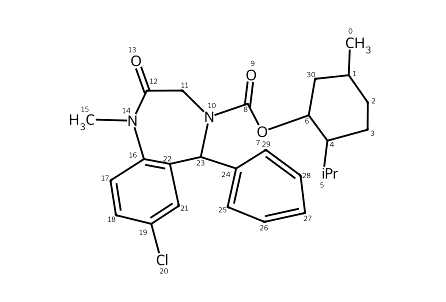 CC1CCC(C(C)C)C(OC(=O)N2CC(=O)N(C)c3ccc(Cl)cc3C2c2ccccc2)C1